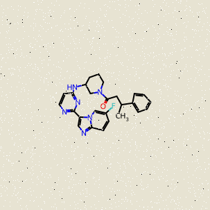 CC(CC(=O)N1CCCC(Nc2ccnc(-c3cnc4ccc(F)cn34)n2)C1)c1ccccc1